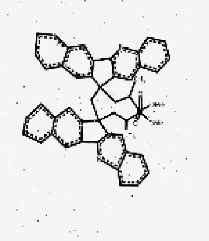 COC(=O)C(C)CC1(CC2(CC(C)C(=O)OC)c3cc4ccccc4cc3-c3nc4ccccc4cc32)c2cc3ccccc3cc2-c2nc3ccccc3cc21